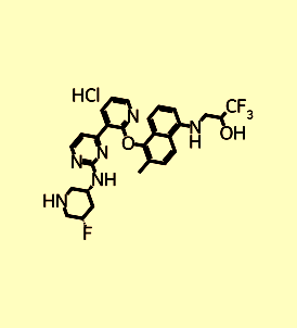 Cc1ccc2c(NCC(O)C(F)(F)F)cccc2c1Oc1ncccc1-c1ccnc(N[C@@H]2CNC[C@@H](F)C2)n1.Cl